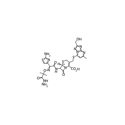 Cc1cc(SCC2=C(C(=O)O)N3C(=O)C(NC(=O)C(=NOC(C)(C)C(=O)NN)c4csc(N)n4)[C@@H]3SC2)n2nc(CO)nc2n1